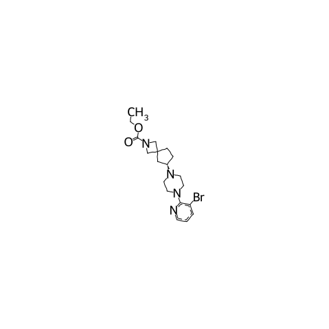 CCOC(=O)N1CC2(CC[C@@H](N3CCN(c4ncccc4Br)CC3)C2)C1